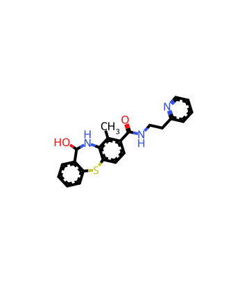 Cc1c(C(=O)NCCc2ccccn2)ccc2c1NC(O)c1ccccc1S2